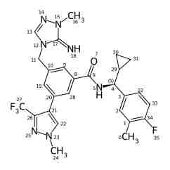 Cc1cc([C@@H](NC(=O)c2cc(Cn3cnn(C)c3=N)cc(-c3cn(C)nc3C(F)(F)F)c2)C2CC2)ccc1F